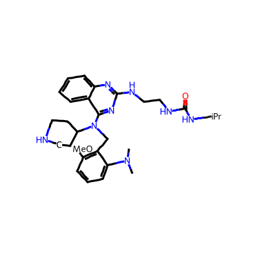 COc1cccc(N(C)C)c1CN(c1nc(NCCNC(=O)NC(C)C)nc2ccccc12)C1CCNCC1